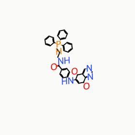 O=C(NCCC[PH](c1ccccc1)(c1ccccc1)c1ccccc1)c1ccc(NC2=CC(=O)c3ncncc3C2=O)cc1